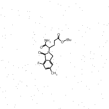 Cc1cc(F)c2c(c1)CN(C(CCC(=O)OC(C)(C)C)C(N)=O)C2=O